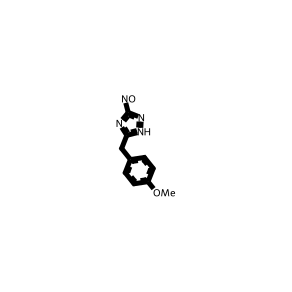 COc1ccc(Cc2nc(N=O)n[nH]2)cc1